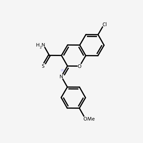 COc1ccc(/N=c2\oc3ccc(Cl)cc3cc2C(N)=S)cc1